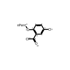 CCCCCOc1ccc(Cl)cc1C(=O)Cl